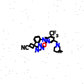 C[C@H]1CCCN(Cc2cc(C(F)(F)F)c3cn(-c4cccc([C@]5(c6nncn6C)C[C@H](C#N)C5)c4)c(=O)n3c2)C1